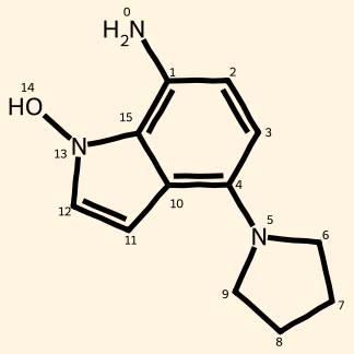 Nc1ccc(N2CCCC2)c2ccn(O)c12